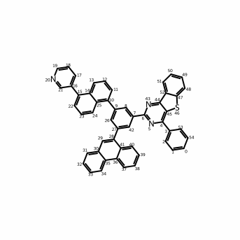 c1ccc(-c2nc(-c3cc(-c4cccc5c(-c6cccnc6)cccc45)cc(-c4cc5ccccc5c5ccccc45)c3)nc3c2sc2ccccc23)cc1